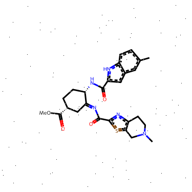 COC(=O)[C@@H]1CC[C@H](NC(=O)c2cc3cc(C)ccc3[nH]2)/C(=N/C(=O)c2nc3c(s2)CN(C)CC3)C1